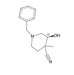 CC1(C#N)CCN(Cc2ccccc2)C[C@H]1O